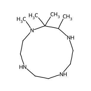 CC1NCCNCCNCCN(C)C1(C)C